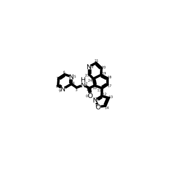 O=C(NCc1ncccn1)c1c(-c2ccon2)ccc2ccncc12